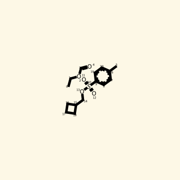 CCOC=O.Cc1ccc(S(=O)(=O)OCC2CCC2)cc1